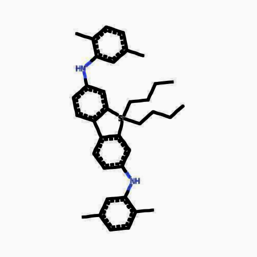 CCCC[Si]1(CCCC)c2cc(Nc3cc(C)ccc3C)ccc2-c2ccc(Nc3cc(C)ccc3C)cc21